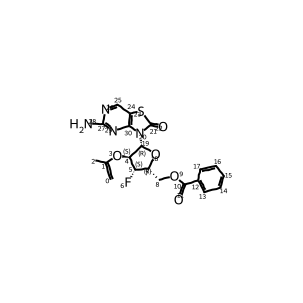 C=C(C)O[C@@H]1[C@@H](F)[C@@H](COC(=O)c2ccccc2)O[C@H]1n1c(=O)sc2cnc(N)nc21